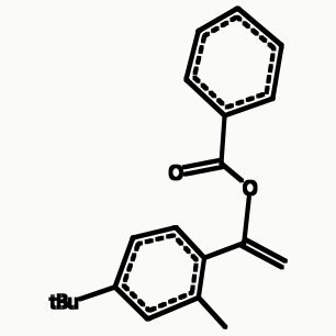 C=C(OC(=O)c1ccccc1)c1ccc(C(C)(C)C)cc1C